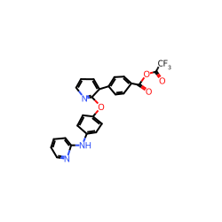 O=C(OC(=O)C(F)(F)F)c1ccc(-c2cccnc2Oc2ccc(Nc3ccccn3)cc2)cc1